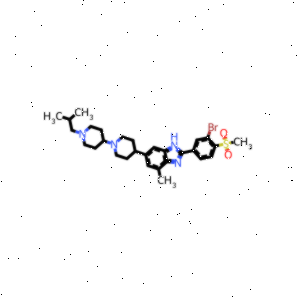 Cc1cc(C2CCN(C3CCN(CC(C)C)CC3)CC2)cc2[nH]c(-c3ccc(S(C)(=O)=O)c(Br)c3)nc12